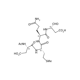 CSCC[C@H](NC(=O)[C@H](CC(=O)O)NC(C)=O)C(=O)N[C@@H](CCC(N)=O)C(=O)N[C@H](C=O)CC(=O)O